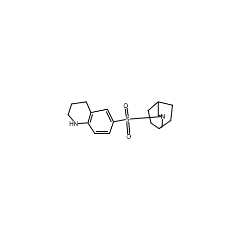 O=S(=O)(c1ccc2c(c1)CCCN2)N1CC2CCC(CC2)C1